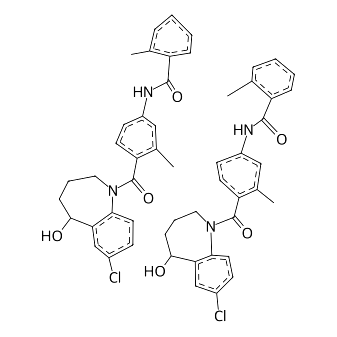 Cc1ccccc1C(=O)Nc1ccc(C(=O)N2CCCC(O)c3cc(Cl)ccc32)c(C)c1.Cc1ccccc1C(=O)Nc1ccc(C(=O)N2CCCC(O)c3cc(Cl)ccc32)c(C)c1